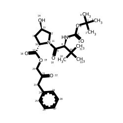 CC(C)(C)OC(=O)N[C@H](C(=O)N1C[C@H](O)C[C@H]1C(=O)OCC(=O)Cc1ccccc1)C(C)(C)C